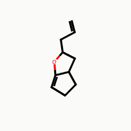 C=CCC1CC2CCC=C2O1